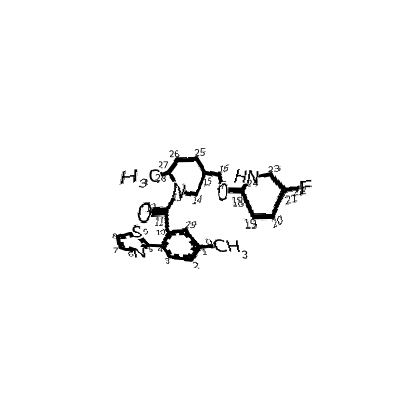 Cc1ccc(-c2nccs2)c(C(=O)N2CC(COC3CCC(F)CN3)CCC2C)c1